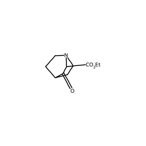 CCOC(=O)C1C(=O)C2CCN1CC2